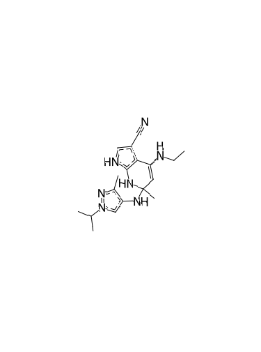 CCNC1=CC(C)(Nc2cn(C(C)C)nc2C)Nc2[nH]cc(C#N)c21